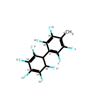 Cc1c(F)c(F)c(C2C(F)=C(F)C(F)=C(F)C2F)c(F)c1F